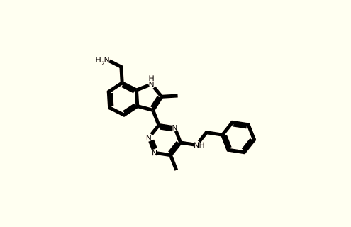 Cc1nnc(-c2c(C)[nH]c3c(CN)cccc23)nc1NCc1ccccc1